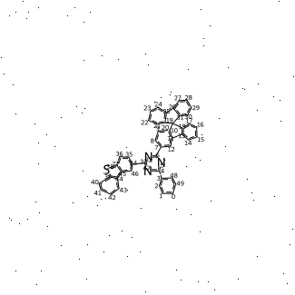 c1ccc(-c2nc(-c3ccc4c(c3)-c3ccccc3C43c4ccccc4-c4ccccc43)nc(-c3ccc4sc5ccccc5c4c3)n2)cc1